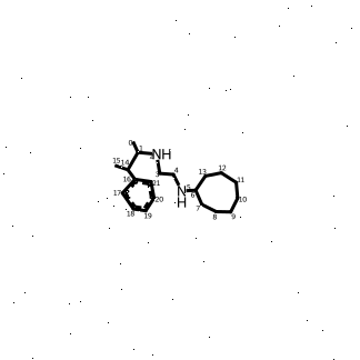 CC(NCCNC1CCCCCCC1)C(C)c1ccccc1